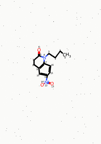 CCCCN1C(=O)CCc2cc([N+](=O)[O-])ccc21